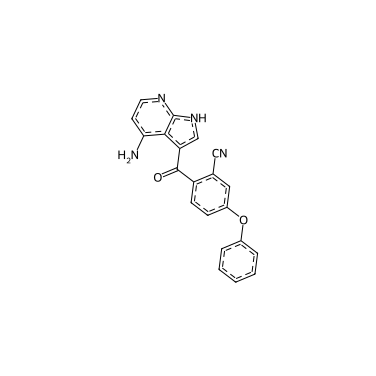 N#Cc1cc(Oc2ccccc2)ccc1C(=O)c1c[nH]c2nccc(N)c12